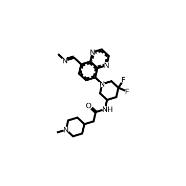 C/N=C/c1ccc(N2CC(NC(=O)CC3CCN(C)CC3)CC(F)(F)C2)c2nccnc12